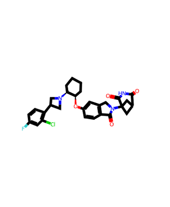 O=C1NC(=O)C2(N3Cc4cc(O[C@@H]5CCCC[C@@H]5N5CC(c6ccc(F)cc6Cl)C5)ccc4C3=O)CC1C2